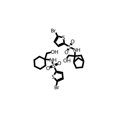 O=S(=O)(NC1(CO)CC2CCC1C2)c1ccc(Br)s1.O=S(=O)(NC1(CO)CCCCC1)c1ccc(Br)s1